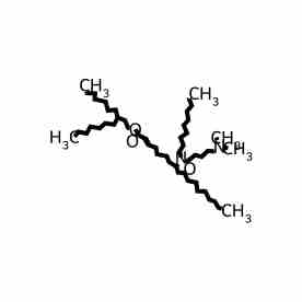 CCCCCCCCCCC(CCCCC=CC(=O)OCCC(CCCCCCC)CCCCCCC)N(CCCCCCCCCC)C(=O)CCCCN(C)C